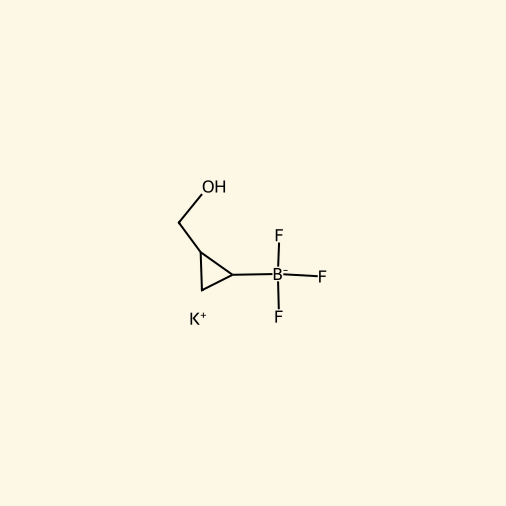 OCC1CC1[B-](F)(F)F.[K+]